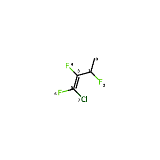 CC(F)C(F)=C(F)Cl